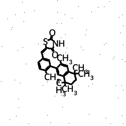 Cc1ccc(C=C2SC(=O)NC2=O)cc1-c1cc2c(cc1C)C(C)(C)CCC2(C)C